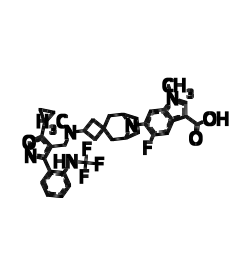 CN(Cc1c(-c2ccccc2NC(F)(F)F)noc1C1CC1)C1CC2(C1)CC1CCC(C2)N1c1cc2c(cc1F)c(C(=O)O)cn2C